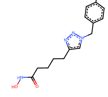 Cc1ccc(Cn2cc(CCCCC(=O)NO)nn2)cc1